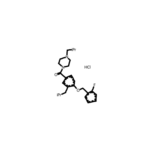 CC(C)Cc1cc(C(=O)N2CCN(CC(C)C)CC2)ccc1OCc1ccccc1F.Cl